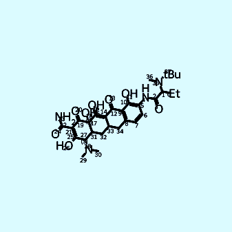 CCC(C(=O)Nc1ccc2c(c1O)C(=O)C1=C(O)[C@]3(O)C(=O)C(C(N)=O)=C(O)[C@@H](N(C)C)C3CC1C2)N(C)C(C)(C)C